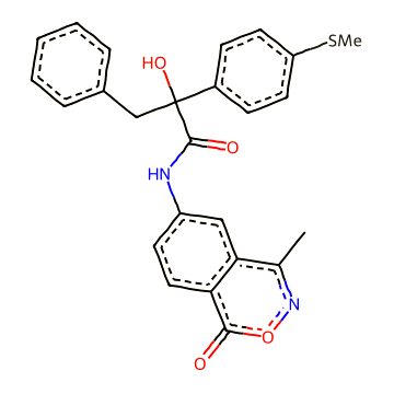 CSc1ccc(C(O)(Cc2ccccc2)C(=O)Nc2ccc3c(=O)onc(C)c3c2)cc1